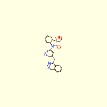 CCC1(O)C(=O)N(c2cncc(Cc3nncc4ccccc34)c2)c2ccccc21